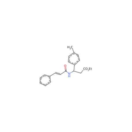 CCOC(=O)CC(NC(=O)/C=C/c1ccccc1)c1ccc(C)cc1